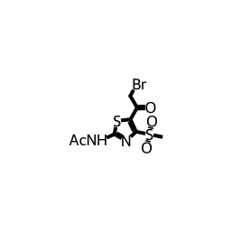 CC(=O)Nc1nc(S(C)(=O)=O)c(C(=O)CBr)s1